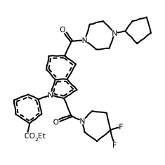 CCOC(=O)c1cccc(-n2c(C(=O)N3CCC(F)(F)CC3)cc3cc(C(=O)N4CCN(C5CCCC5)CC4)ccc32)c1